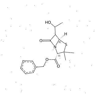 CC(O)C1C(=O)N2[C@@H]1SC(C)(C)[C@@H]2C(=O)OCc1ccccc1